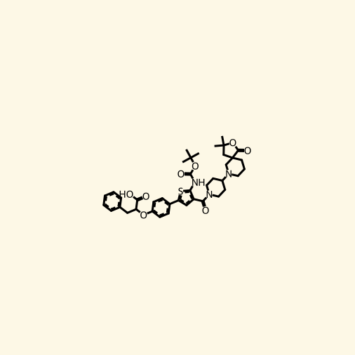 CC(C)(C)OC(=O)Nc1sc(-c2ccc(OC(Cc3ccccc3)C(=O)O)cc2)cc1C(=O)N1CCC(N2CCCC3(C2)CC(C)(C)OC3=O)CC1